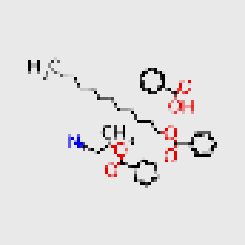 CC(CC#N)OC(=O)c1ccccc1.CCCCCCCCCCCCOC(=O)c1ccccc1.O=C(O)c1ccccc1